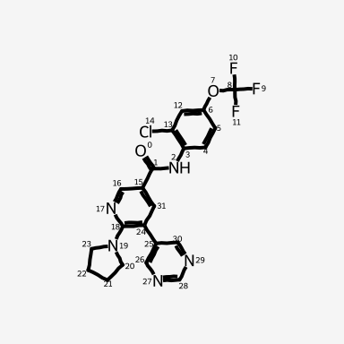 O=C(Nc1ccc(OC(F)(F)F)cc1Cl)c1cnc(N2CCCC2)c(-c2cncnc2)c1